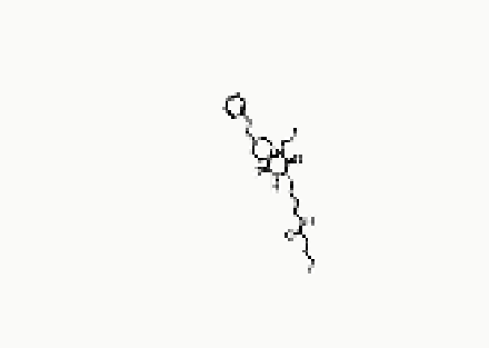 CCCCC(=O)NCCCC[C@@H]1NC(=O)C2(CCN(CCc3ccccc3)CC2)N(CCC)C1=O